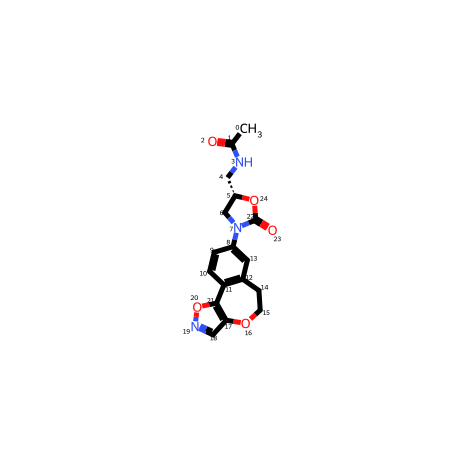 CC(=O)NC[C@H]1CN(c2ccc3c(c2)CCOc2cnoc2-3)C(=O)O1